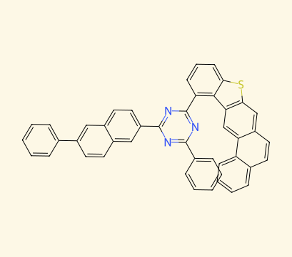 c1ccc(-c2ccc3cc(-c4nc(-c5ccccc5)nc(-c5cccc6sc7cc8ccc9ccccc9c8cc7c56)n4)ccc3c2)cc1